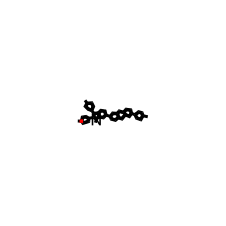 Cc1ccc(-c2ccc3cc4cc(-c5ccc6c(-c7ccc(C)cc7)c(-c7ccc(C)cc7)n(C)c6c5)ccc4cc3c2)cc1